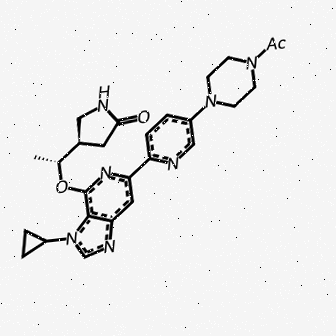 CC(=O)N1CCN(c2ccc(-c3cc4ncn(C5CC5)c4c(O[C@H](C)[C@H]4CNC(=O)C4)n3)nc2)CC1